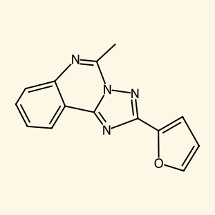 Cc1nc2ccccc2c2nc(-c3ccco3)nn12